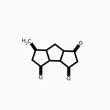 C=C1CC(=O)C2C1CC1C(=O)CC(=O)C12